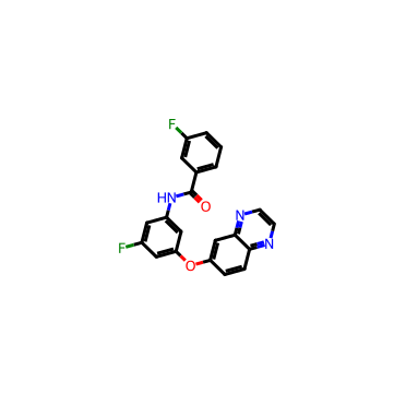 O=C(Nc1cc(F)cc(Oc2ccc3nccnc3c2)c1)c1cccc(F)c1